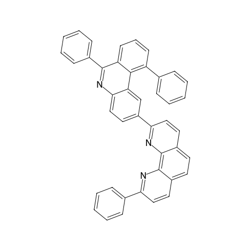 c1ccc(-c2ccc3ccc4ccc(-c5ccc6nc(-c7ccccc7)c7cccc(-c8ccccc8)c7c6c5)nc4c3n2)cc1